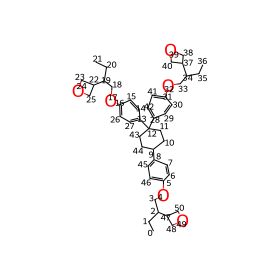 CCC(COc1ccc(C2CCC(c3ccc(OCC(CC)C4COC4)cc3)(c3ccc(OCC(CC)C4COC4)cc3)CC2)cc1)C1COC1